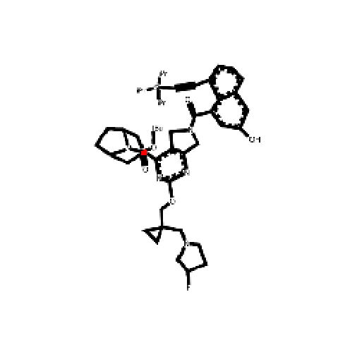 CC(C)[Si](C#Cc1cccc2cc(O)cc(C(=O)N3Cc4nc(OCC5(CN6CCC(F)C6)CC5)nc(N5CC6CCC(C5)N6C(=O)OC(C)(C)C)c4C3)c12)(C(C)C)C(C)C